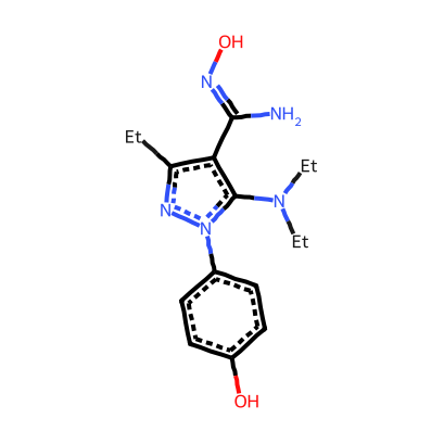 CCc1nn(-c2ccc(O)cc2)c(N(CC)CC)c1/C(N)=N/O